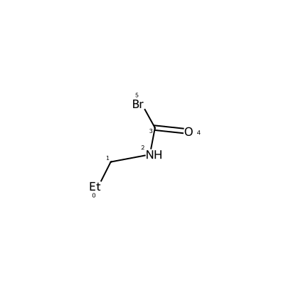 CCCNC(=O)Br